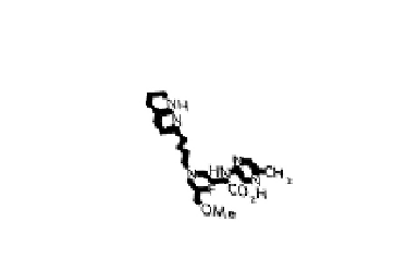 COCC(F)CN(CCCCc1ccc2c(n1)NCCC2)CCC(Nc1cnc(C)cn1)C(=O)O